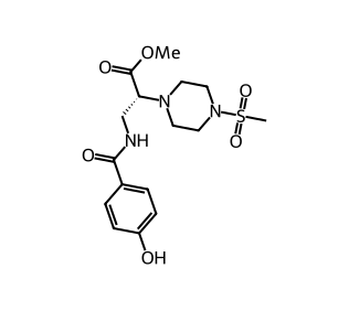 COC(=O)[C@@H](CNC(=O)c1ccc(O)cc1)N1CCN(S(C)(=O)=O)CC1